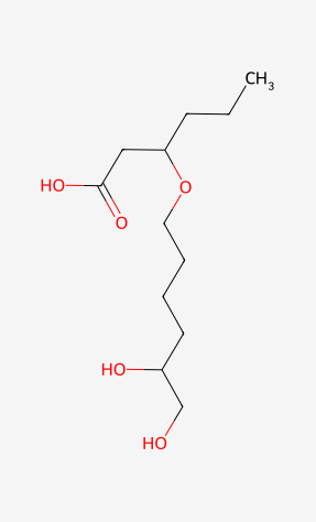 CCCC(CC(=O)O)OCCCCC(O)CO